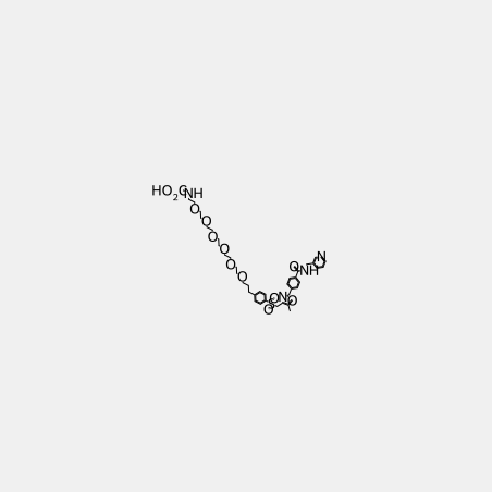 Cc1oc(-c2ccc(C(=O)NCc3cccnc3)cc2)nc1CS(=O)(=O)c1ccc(CCCOCCOCCOCCOCCOCCOCCNC(=O)O)cc1